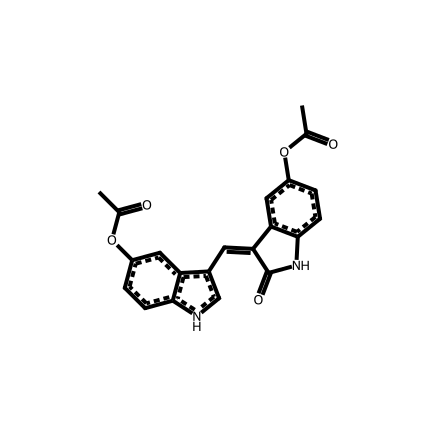 CC(=O)Oc1ccc2c(c1)C(=Cc1c[nH]c3ccc(OC(C)=O)cc13)C(=O)N2